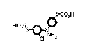 NN(c1ccc(SC(=O)O)cc1)c1ccc(SC(=O)O)cc1Cl